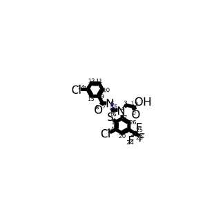 O=C(O)Cn1/c(=N/C(=O)c2cccc(Cl)c2)sc2c(Cl)cc(C(F)(F)F)cc21